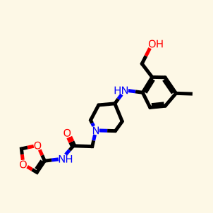 Cc1ccc(NC2CCN(CC(=O)NC3=COCO3)CC2)c(CO)c1